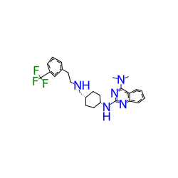 CN(C)c1nc(N[C@H]2CC[C@@H](CNCCc3cccc(C(F)(F)F)c3)CC2)nc2ccccc12